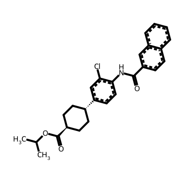 CC(C)OC(=O)[C@H]1CC[C@H](c2ccc(NC(=O)c3ccc4ccccc4c3)c(Cl)c2)CC1